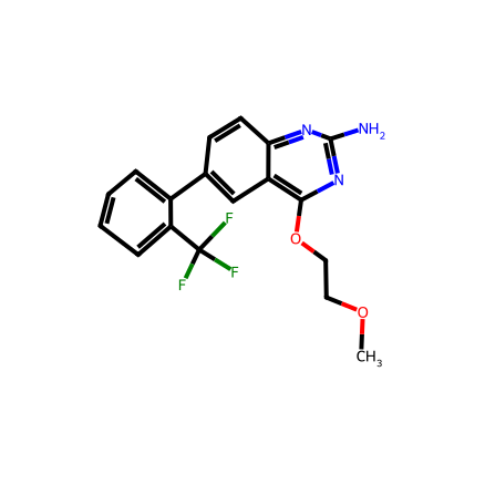 COCCOc1nc(N)nc2ccc(-c3ccccc3C(F)(F)F)cc12